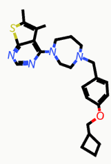 Cc1sc2ncnc(N3CCCN(Cc4ccc(OCC5CCC5)cc4)CC3)c2c1C